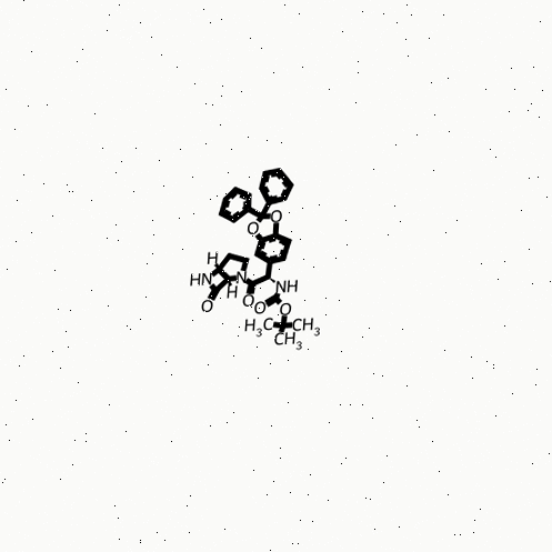 CC(C)(C)OC(=O)N[C@H](C(=O)N1CC[C@H]2NC(=O)[C@H]21)c1ccc2c(c1)OC(c1ccccc1)(c1ccccc1)O2